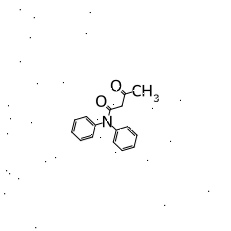 CC(=O)CC(=O)N(c1ccccc1)c1ccccc1